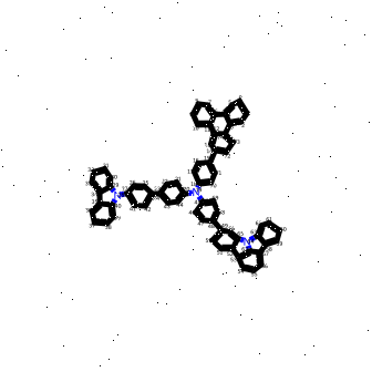 c1ccc2c(c1)c1ccccc1c1cc(-c3ccc(N(c4ccc(-c5ccc(-n6c7ccccc7c7ccccc76)cc5)cc4)c4ccc(-c5ccc6c7cccc8c9ccccc9n(c6c5)c87)cc4)cc3)ccc21